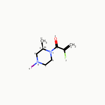 C=C(F)C(=O)N1CCN(I)C[C@H]1C